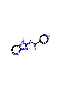 O=C(N=c1[nH]c2cccnc2[nH]1)c1ccncc1